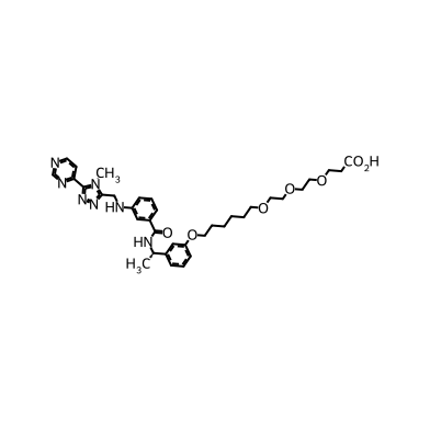 C[C@@H](NC(=O)c1cccc(NCc2nnc(-c3ccncn3)n2C)c1)c1cccc(OCCCCCCOCCOCCOCCC(=O)O)c1